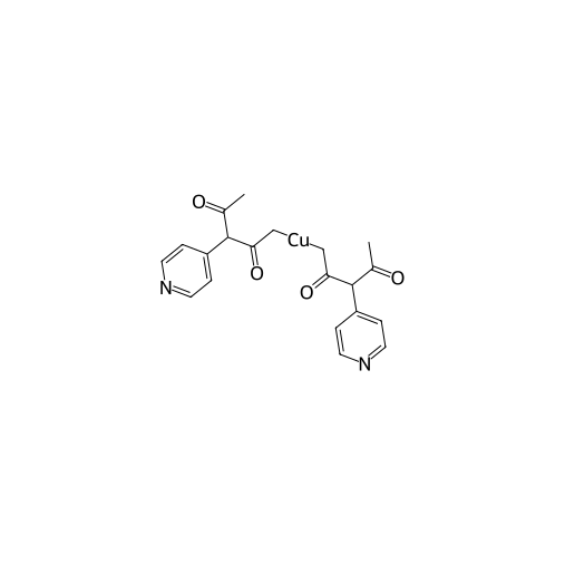 CC(=O)C(C(=O)[CH2][Cu][CH2]C(=O)C(C(C)=O)c1ccncc1)c1ccncc1